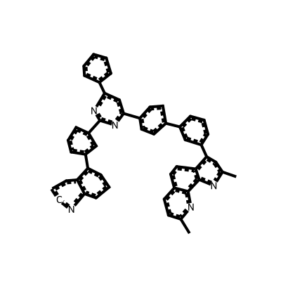 Cc1ccc2ccc3c(-c4cccc(-c5ccc(-c6cc(-c7ccccc7)nc(-c7cccc(-c8cccc9ncccc89)c7)n6)cc5)c4)cc(C)nc3c2n1